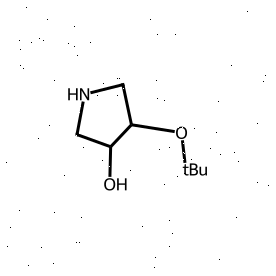 CC(C)(C)OC1CNCC1O